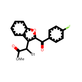 CCC(C(=O)OC)c1c(C(=O)c2ccc(F)cc2)oc2ccccc12